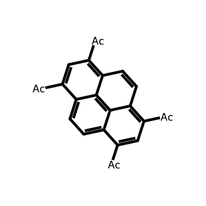 CC(=O)c1cc(C(C)=O)c2ccc3c(C(C)=O)cc(C(C)=O)c4ccc1c2c43